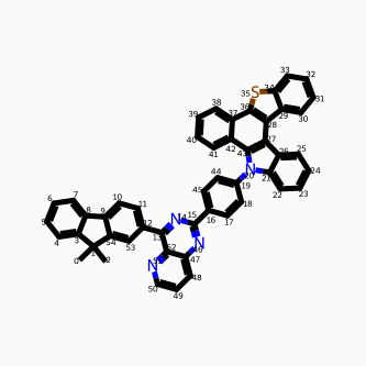 CC1(C)c2ccccc2-c2ccc(-c3nc(-c4ccc(-n5c6ccccc6c6c7c8ccccc8sc7c7ccccc7c65)cc4)nc4cccnc34)cc21